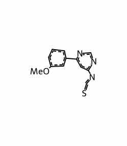 COc1cccc(-c2cc(N=C=S)ncn2)c1